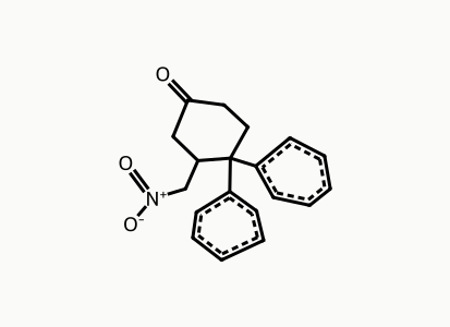 O=C1CCC(c2ccccc2)(c2ccccc2)C(C[N+](=O)[O-])C1